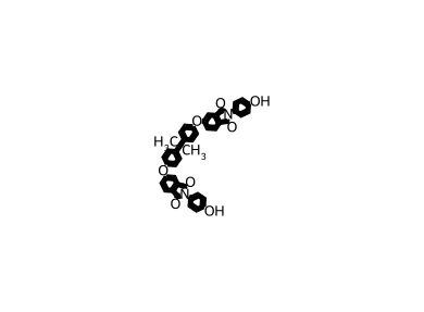 CC(C)(c1ccc(Oc2ccc3c(c2)C(=O)N(c2ccc(O)cc2)C3=O)cc1)c1ccc(Oc2ccc3c(c2)C(=O)N(c2ccc(O)cc2)C3=O)cc1